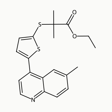 CCOC(=O)C(C)(C)Sc1ccc(-c2ccnc3ccc(C)cc23)s1